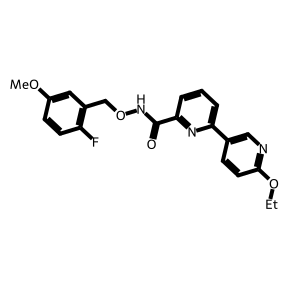 CCOc1ccc(-c2cccc(C(=O)NOCc3cc(OC)ccc3F)n2)cn1